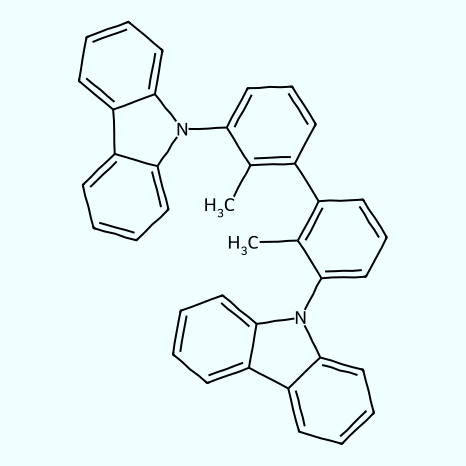 Cc1c(-c2cccc(-n3c4ccccc4c4ccccc43)c2C)cccc1-n1c2ccccc2c2ccccc21